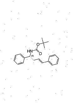 CC(C)(C)OC(=O)N[C@H](CC=Cc1ccccc1)c1ccccc1